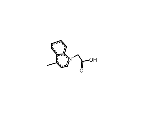 Cc1cc[n+](CC(=O)O)c2ccccc12